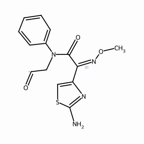 CO/N=C(\C(=O)N(C[C]=O)c1ccccc1)c1csc(N)n1